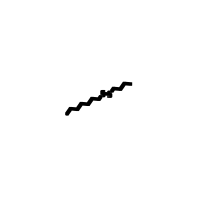 CCCCCCCSSCCCC